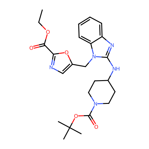 CCOC(=O)c1ncc(Cn2c(NC3CCN(C(=O)OC(C)(C)C)CC3)nc3ccccc32)o1